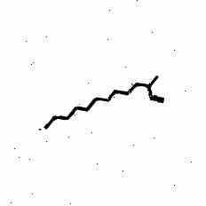 [CH2]CCCCCCCC[CH]C(C)C=C